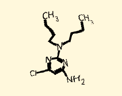 CCCCN(CCCC)c1nc(N)cc(Cl)n1